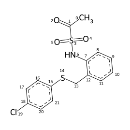 CC(=O)S(=O)(=O)Nc1ccccc1CSc1ccc(Cl)cc1